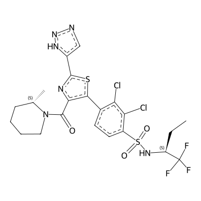 CC[C@H](NS(=O)(=O)c1ccc(-c2sc(-c3cnn[nH]3)nc2C(=O)N2CCCC[C@@H]2C)c(Cl)c1Cl)C(F)(F)F